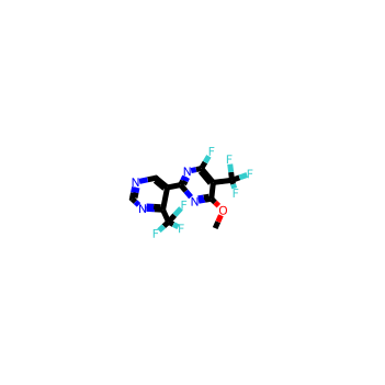 COc1nc(-c2cncnc2C(F)(F)F)nc(F)c1C(F)(F)F